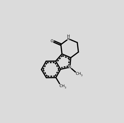 Cc1cccc2c3c(n(C)c12)CCNC3=O